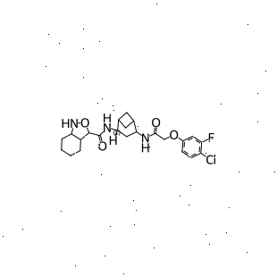 O=C(COc1ccc(Cl)c(F)c1)NC1C[C@H](NC(=O)C2ONC3CCCCC32)C2CC1C2